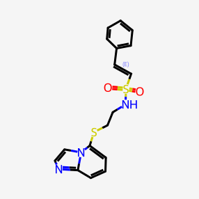 O=S(=O)(/C=C/c1ccccc1)NCCSc1cccc2nccn12